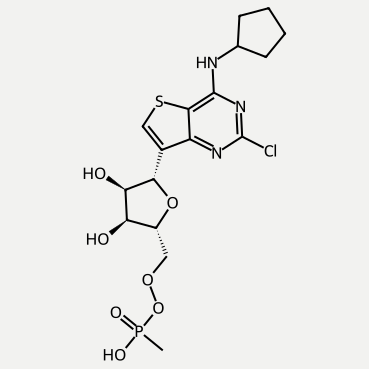 CP(=O)(O)OOC[C@H]1O[C@@H](c2csc3c(NC4CCCC4)nc(Cl)nc23)[C@H](O)[C@@H]1O